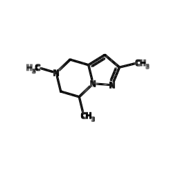 Cc1cc2n(n1)C(C)CN(C)C2